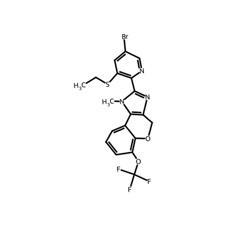 CCSc1cc(Br)cnc1-c1nc2c(n1C)-c1cccc(OC(F)(F)F)c1OC2